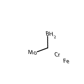 B[CH2][Mo].[Cr].[Fe]